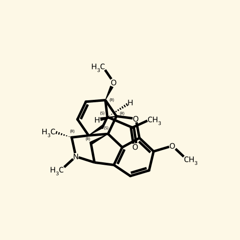 COc1ccc2c3c1O[C@H]1[C@@]4(OC)C=C[C@@]5(C[C@@H]4C(C)=O)[C@@H](C)N(C)C2C[C@]315